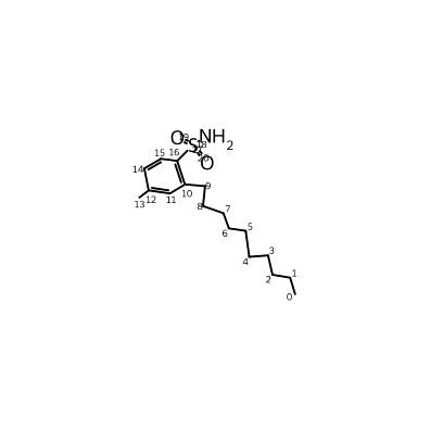 CCCCCCCCCCc1cc(C)ccc1S(N)(=O)=O